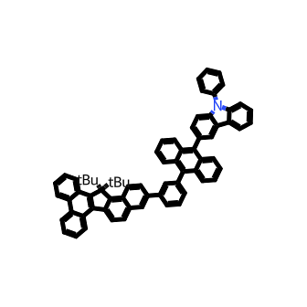 CC(C)(C)C1(C(C)(C)C)c2c(ccc3cc(-c4cccc(-c5c6ccccc6c(-c6ccc7c(c6)c6ccccc6n7-c6ccccc6)c6ccccc56)c4)ccc23)-c2c1c1ccccc1c1ccccc21